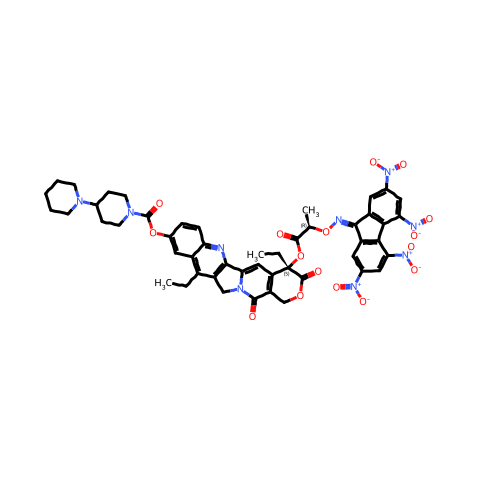 CCc1c2c(nc3ccc(OC(=O)N4CCC(N5CCCCC5)CC4)cc13)-c1cc3c(c(=O)n1C2)COC(=O)[C@@]3(CC)OC(=O)[C@@H](C)ON=C1c2cc([N+](=O)[O-])cc([N+](=O)[O-])c2-c2c1cc([N+](=O)[O-])cc2[N+](=O)[O-]